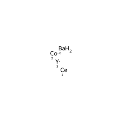 [BaH2].[Ce].[Co].[Y]